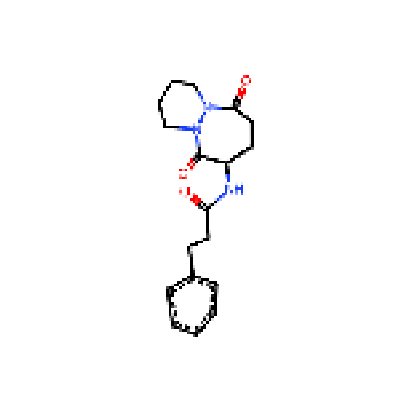 O=C(CCc1ccccc1)NC1CCC(=O)N2CCCCN2C1=O